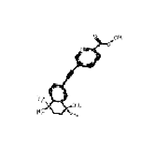 COC(=O)c1ccc(C#Cc2ccc3c(c2)C(C)(C)CCC3(C)C)cn1